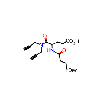 C#CCN(CC#C)C(=O)[C@@H](CCC(=O)O)NC(=O)CCCCCCCCCCCC